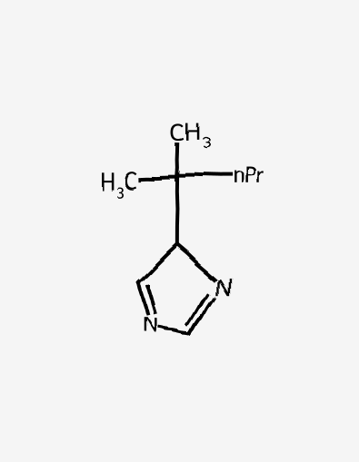 CCCC(C)(C)C1C=NC=N1